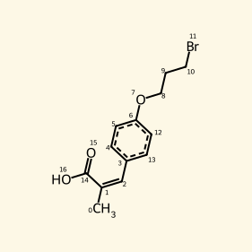 CC(=Cc1ccc(OCCCBr)cc1)C(=O)O